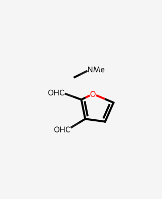 CNC.O=Cc1ccoc1C=O